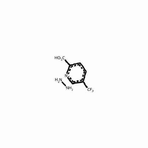 NN.O=C(O)c1ccc(C(F)(F)F)cn1